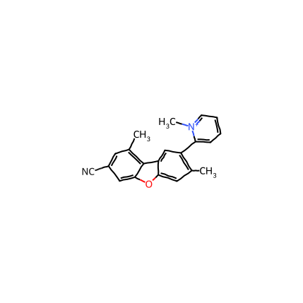 Cc1cc2oc3cc(C#N)cc(C)c3c2cc1-c1cccc[n+]1C